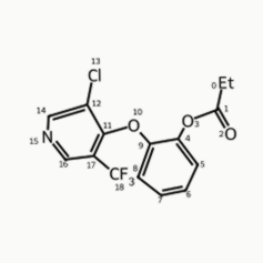 CCC(=O)Oc1ccccc1Oc1c(Cl)cncc1C(F)(F)F